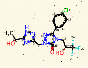 CC(O)c1nc(Cn2nc(-c3ccc(Cl)cc3)n(C[C@H](O)C(F)(F)F)c2=O)n[nH]1